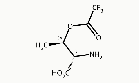 C[C@@H](OC(=O)C(F)(F)F)[C@H](N)C(=O)O